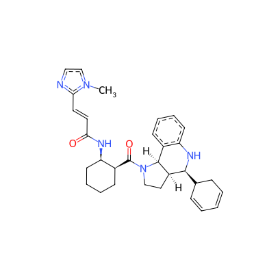 Cn1ccnc1/C=C/C(=O)N[C@@H]1CCCC[C@@H]1C(=O)N1CC[C@@H]2[C@H](C3C=CC=CC3)Nc3ccccc3[C@@H]21